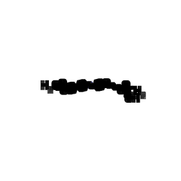 C=CC(=O)Oc1ccc(-c2ccc(/C=C/c3ccc(OCCCCOC(=O)C(=C)CO)cc3)cc2)cc1